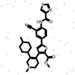 COC(=O)c1sc(-c2ccc(NC(=O)c3cscn3)c(C#N)c2)cc1C1=C(C2CCC(C)CC2)CN(C)CC1